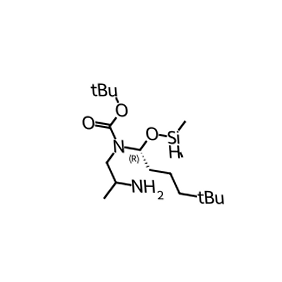 CC(N)CN(C(=O)OC(C)(C)C)[C@@H](CCCC(C)(C)C)O[SiH](C)C